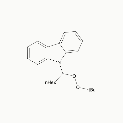 CCCCCCC(OOC(C)(C)C)n1c2ccccc2c2ccccc21